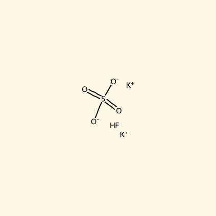 F.O=S(=O)([O-])[O-].[K+].[K+]